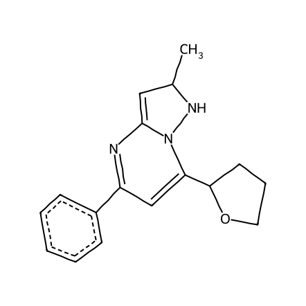 CC1C=C2N=C(c3ccccc3)C=C(C3CCCO3)N2N1